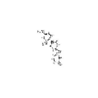 Nc1cnc(N2CCC(Oc3cccc(F)c3)CC2)c(Cl)c1